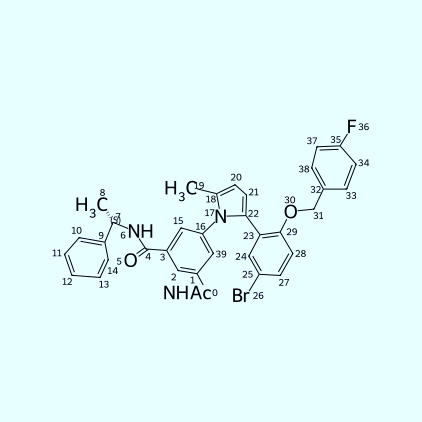 CC(=O)Nc1cc(C(=O)N[C@@H](C)c2ccccc2)cc(-n2c(C)ccc2-c2cc(Br)ccc2OCc2ccc(F)cc2)c1